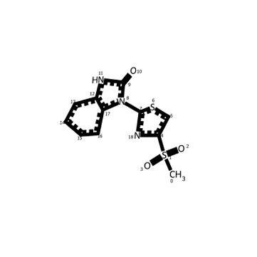 CS(=O)(=O)c1csc(-n2c(=O)[nH]c3ccccc32)n1